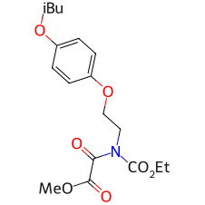 CCOC(=O)N(CCOc1ccc(OC(C)CC)cc1)C(=O)C(=O)OC